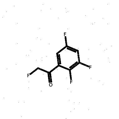 O=C(CF)c1cc(F)cc(F)c1F